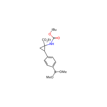 CCOC(=O)C1(NC(=O)OC(C)(C)C)CC1c1ccc(B(OC)OC)cc1